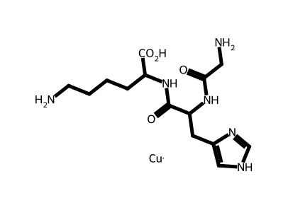 NCCCCC(NC(=O)C(Cc1c[nH]cn1)NC(=O)CN)C(=O)O.[Cu]